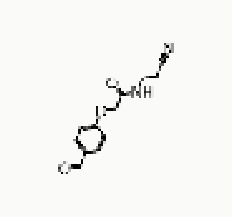 N#CCCNC(=O)COc1ccc(C=O)cc1